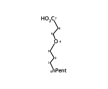 CCCCCCCCO[CH]CC(=O)O